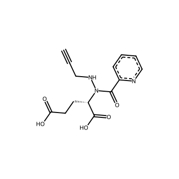 C#CCNN(C(=O)c1ccccn1)[C@@H](CCC(=O)O)C(=O)O